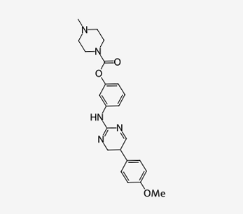 COc1ccc(C2C=NC(Nc3cccc(OC(=O)N4CCN(C)CC4)c3)=NC2)cc1